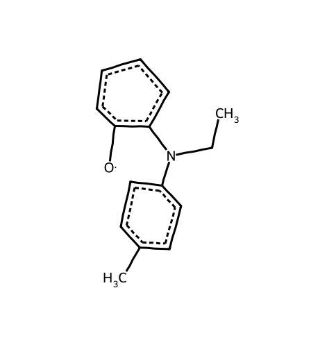 CCN(c1ccc(C)cc1)c1ccccc1[O]